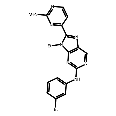 CCc1cccc(Nc2ncc3nc(-c4ccnc(NC)n4)n(CC)c3n2)c1